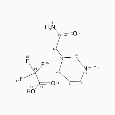 CN1CCCC(CC(N)=O)C1.O=C(O)C(F)(F)F